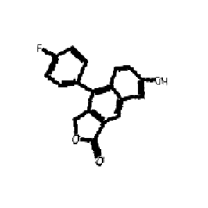 O=C1OCc2c1cc1cc(O)ccc1c2-c1ccc(F)cc1